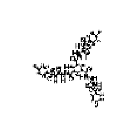 Cc1ccc(S(=O)(=O)NC(=O)NNC(=O)c2cc(C(=O)NNC(=O)NS(=O)(=O)c3ccc(C)cc3)cc(C(=O)NNC(=O)NS(=O)(=O)c3ccc(C)cc3)c2)cc1